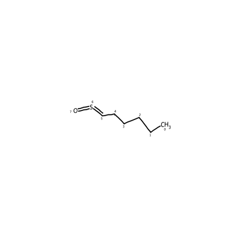 CCCC[CH]C=S=O